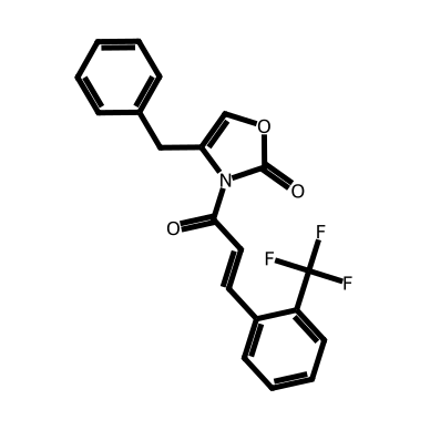 O=C(/C=C/c1ccccc1C(F)(F)F)n1c(Cc2ccccc2)coc1=O